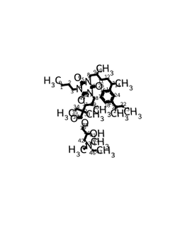 CCCCn1c(=O)n(CC(C)CCC(C)c2cccc(C(C)CC)c2)c(=O)n(CC(C)CC(C)(CC)C(=O)OCC(O)C[N+](C)(C)CC)c1=O